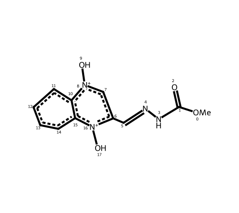 COC(=O)N/N=C/c1c[n+](O)c2ccccc2[n+]1O